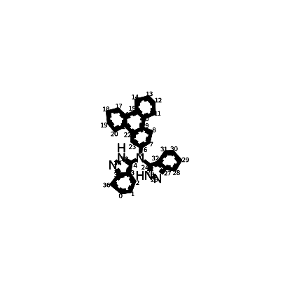 c1ccc2c(N(c3ccc4c5ccccc5c5ccccc5c4c3)c3[nH]nc4ccccc34)[nH]nc2c1